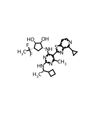 Cc1nc(N[C@H](C)C2CCC2)nc(N[C@@H]2C[C@H](C(C)(F)F)[C@@H](O)[C@H]2O)c1-c1nc2c(C3CC3)nccc2s1